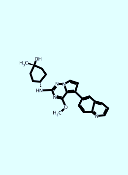 COc1nc(N[C@H]2CC[C@@](C)(O)CC2)nn2ccc(-c3ccc4ncccc4c3)c12